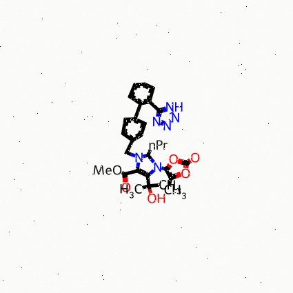 CCCC1N(Cc2ccc(-c3ccccc3-c3nnn[nH]3)cc2)C(C(=O)OC)=C(C(C)(C)O)N1c1oc(=O)oc1C